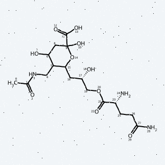 CC(=O)NCC1C(O)CC(O)(C(=O)O)OC1C[C@H](O)COC(=O)[C@H](N)CCC(N)=O